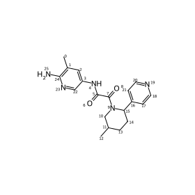 Cc1cc(NC(=O)C(=O)N2CC(C)CCC2c2ccncc2)cnc1N